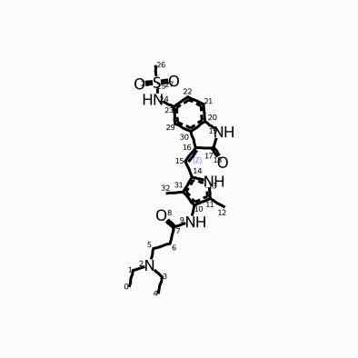 CCN(CC)CCC(=O)Nc1c(C)[nH]c(/C=C2\C(=O)Nc3ccc(NS(C)(=O)=O)cc32)c1C